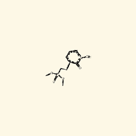 COP(=O)(CCc1cccn(O)c1=O)OC